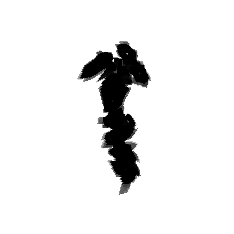 c1ccc(-c2nc(-c3ccc(-c4ccc5c(c4)oc4cc(-c6ccc7oc8ccccc8c7c6)ccc45)cc3)nc(-n3c4ccccc4c4ccccc43)n2)cc1